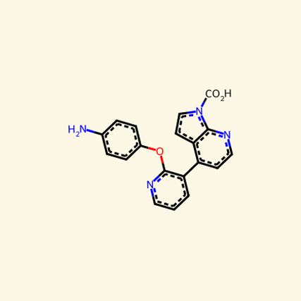 Nc1ccc(Oc2ncccc2-c2ccnc3c2ccn3C(=O)O)cc1